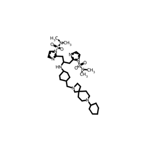 CN(C)S(=O)(=O)n1ccnc1CC(Cc1nccn1S(=O)(=O)N(C)C)NC1CCC(CN2CCC3(CCN(C4CCCCC4)CC3)C2)CC1